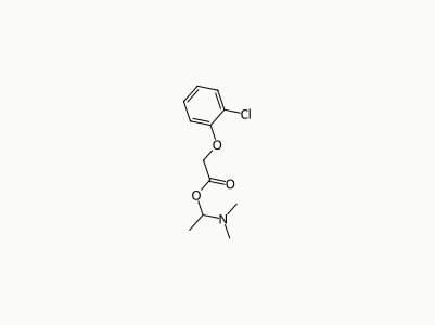 CC(OC(=O)COc1ccccc1Cl)N(C)C